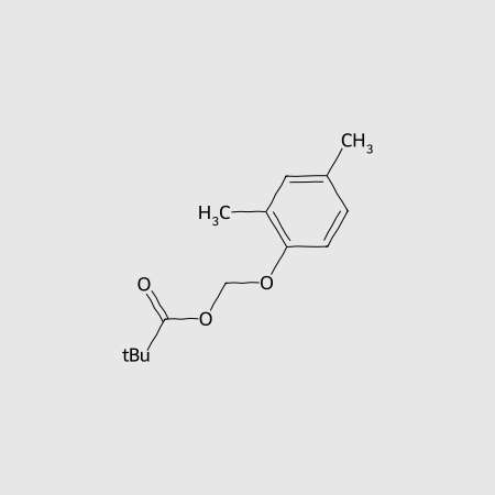 Cc1ccc(OCOC(=O)C(C)(C)C)c(C)c1